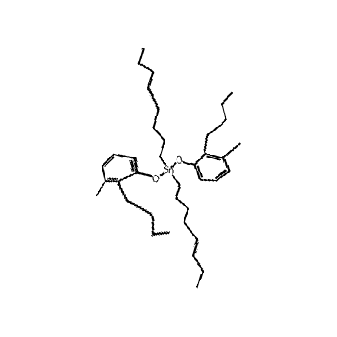 CCCCCCC[CH2][Sn]([CH2]CCCCCCC)([O]c1cccc(C)c1CCCC)[O]c1cccc(C)c1CCCC